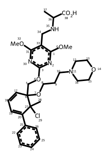 COc1nc(OCC2(OCCCN3CCOCC3)C=CC=C(c3ccccc3)C2(C)Cl)nc(OC)c1CNC(C)C(=O)O